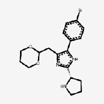 Brc1ccc(-c2[nH]c([C@@H]3CCCN3)nc2CC2OCCCO2)cc1